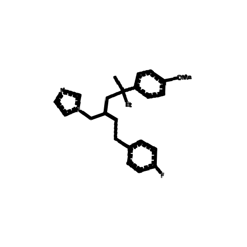 CCC(C)(CC(CCc1ccc(F)cc1)Cn1ccnc1)c1ccc(OC)cc1